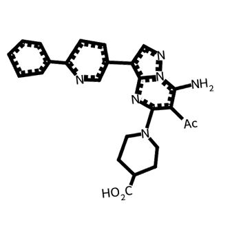 CC(=O)c1c(N2CCC(C(=O)O)CC2)nc2c(-c3ccc(-c4ccccc4)nc3)cnn2c1N